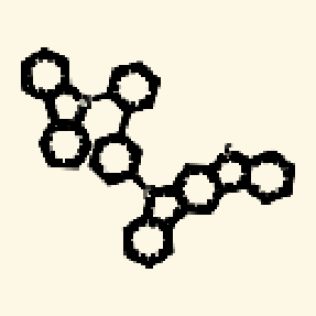 c1cc(-c2ccccc2-n2c3ccccc3c3ccccc32)cc(-n2c3ccccc3c3cc4c(cc32)sc2ccccc24)c1